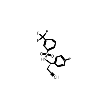 C#CC[C@@H](NS(=O)(=O)c1cccc(C(F)(F)F)c1)c1ccc(F)cc1